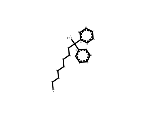 OC(CCCCCCCBr)(c1ccccc1)c1ccccc1